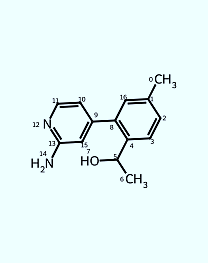 Cc1ccc(C(C)O)c(-c2ccnc(N)c2)c1